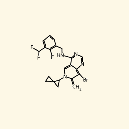 C=C1C(Br)=c2ncnc(NCc3cccc(C(F)F)c3F)c2=CN1C1CC12CC2